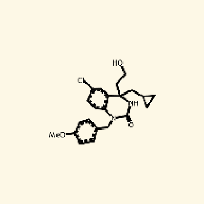 COc1ccc(CN2C(=O)NC(CCO)(CC3CC3)c3cc(Cl)ccc32)cc1